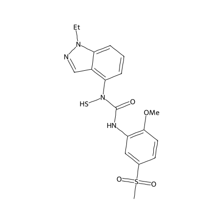 CCn1ncc2c(N(S)C(=O)Nc3cc(S(C)(=O)=O)ccc3OC)cccc21